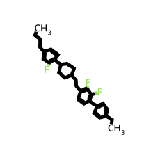 CCCCc1ccc(C2CCC(CCc3ccc(-c4ccc(CC)cc4)c(F)c3F)CC2)c(F)c1